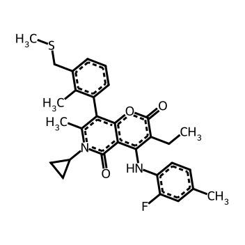 CCc1c(Nc2ccc(C)cc2F)c2c(=O)n(C3CC3)c(C)c(-c3cccc(CSC)c3C)c2oc1=O